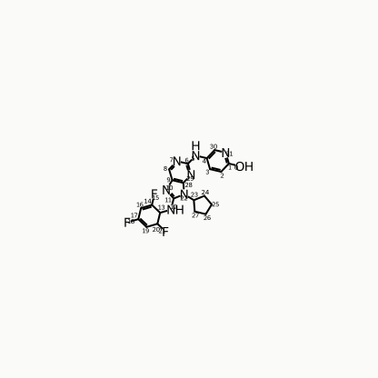 Oc1ccc(Nc2ncc3nc(NC4C(F)=CC(F)=CC4F)n(C4CCCC4)c3n2)cn1